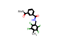 CNC(=O)c1cccc(C(=O)NCc2c(F)c(F)c(C)c(F)c2F)c1